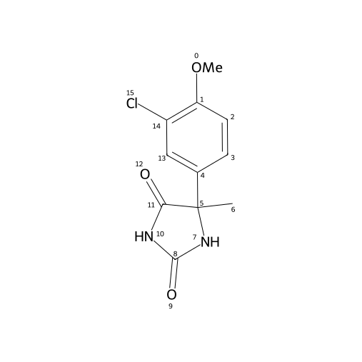 COc1ccc(C2(C)NC(=O)NC2=O)cc1Cl